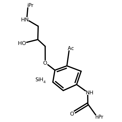 CCCC(=O)Nc1ccc(OCC(O)CNC(C)C)c(C(C)=O)c1.[SiH4]